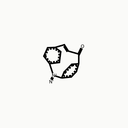 [N-]=[N+]1c2ccc(cc2)/C=C/C(=O)c2ccc1cc2